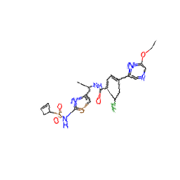 CCOc1cncc(C2=CC=C(C(=O)NC(C)c3csc(NS(=O)(=O)C4C=CC4)n3)C(F)C2)n1